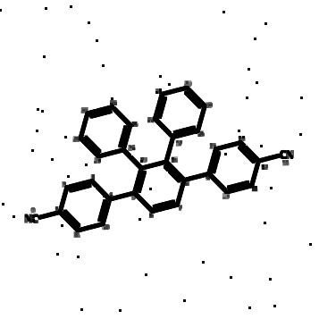 N#Cc1ccc(-c2ccc(-c3ccc(C#N)cc3)c(-c3ccccc3)c2-c2ccccc2)cc1